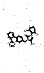 CCCc1cn(-c2c(Cl)cccc2C(C)=O)c(=O)n1Cc1ccc(-c2ncccc2-c2nnn[nH]2)cc1